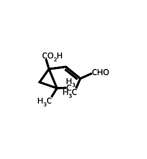 CC(C=O)=CC1(C(=O)O)CC1(C)C